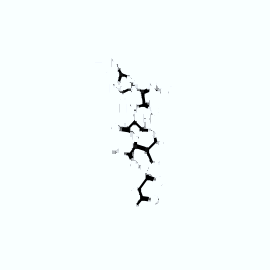 CO/N=C(\C(=O)N[C@@H]1C(=O)N2C(C(=O)O)=C(COC(=O)CC(C)=O)CS[C@H]12)N1CNC(N)S1